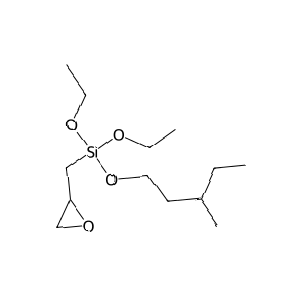 CCO[Si](CC1CO1)(OCC)OCCC(C)CC